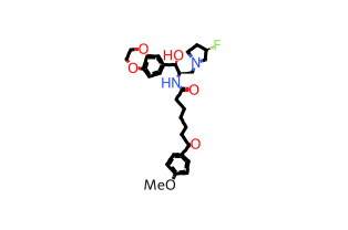 COc1ccc(C(=O)CCCCCC(=O)N[C@H](CN2CC[C@@H](F)C2)[C@H](O)c2ccc3c(c2)OCCO3)cc1